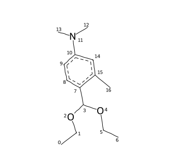 CCOC(OCC)c1ccc(N(C)C)cc1C